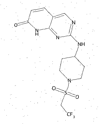 O=c1ccc2cnc(NC3CCN(S(=O)(=O)CC(F)(F)F)CC3)nc2[nH]1